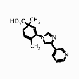 CC1=CCC(C)(C(=O)O)C=C1n1cnc(-c2cccnc2)c1